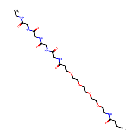 CCCC(=O)NCCOCCOCCOCCOCCC(=O)NCC(=O)NCC(=O)NCC(=O)NCC(=O)NCC